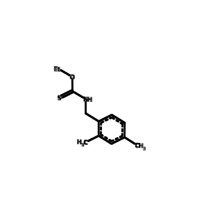 CCOC(=S)NCc1ccc(C)cc1C